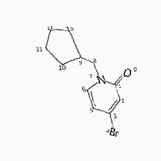 O=c1cc(Br)ccn1CC1CCCC1